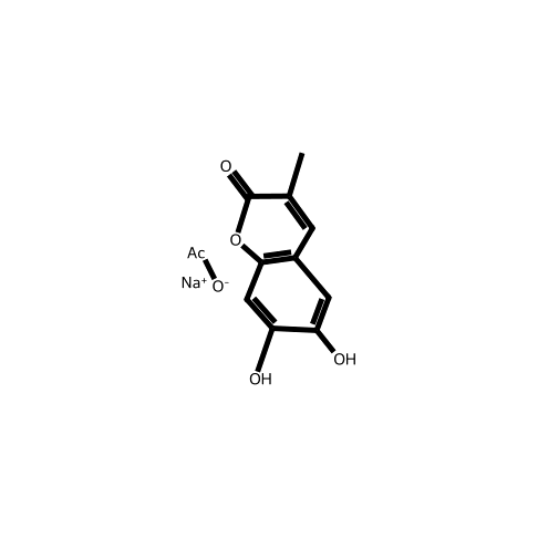 CC(=O)[O-].Cc1cc2cc(O)c(O)cc2oc1=O.[Na+]